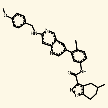 COc1ccc(CNc2cc3ncc(-c4cc(NC(=O)c5noc6c5CC(C)CC6)ccc4C)cc3cn2)cc1